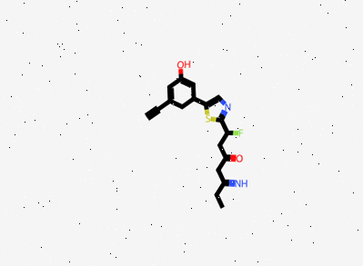 C#CC1=CC(O)=CC(c2cnc(C(F)CC(=O)CC(=N)CC)s2)C1